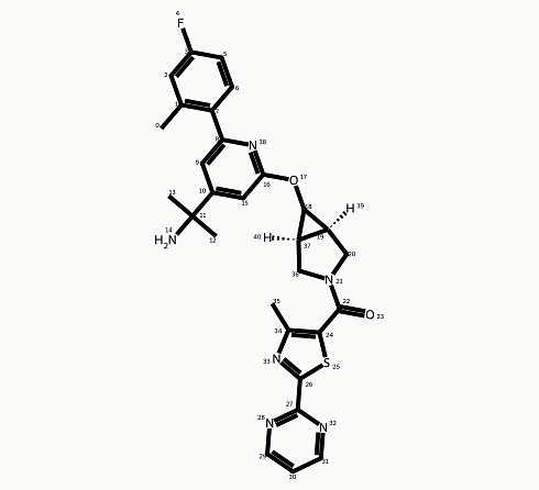 Cc1cc(F)ccc1-c1cc(C(C)(C)N)cc(OC2[C@H]3CN(C(=O)c4sc(-c5ncccn5)nc4C)C[C@@H]23)n1